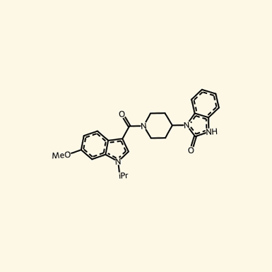 COc1ccc2c(C(=O)N3CCC(n4c(=O)[nH]c5ccccc54)CC3)cn(C(C)C)c2c1